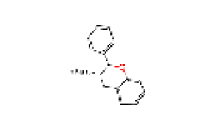 CCCCCC1Cc2ccccc2OC1c1ccccc1